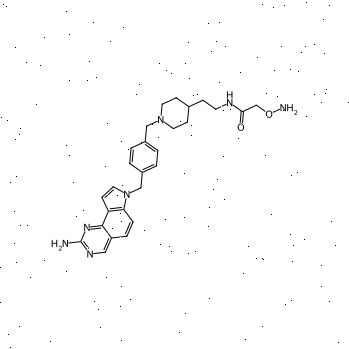 NOCC(=O)NCCC1CCN(Cc2ccc(Cn3ccc4c5nc(N)ncc5ccc43)cc2)CC1